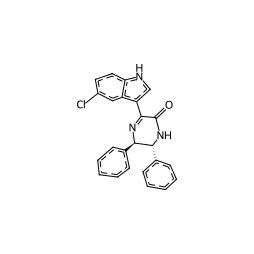 O=C1N[C@H](c2ccccc2)[C@@H](c2ccccc2)N=C1c1c[nH]c2ccc(Cl)cc12